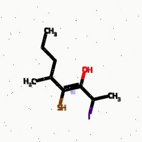 CCCC(C)/C(S)=C(\O)C(C)I